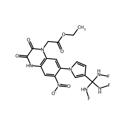 CCOC(=O)Cn1c(=O)c(=O)[nH]c2cc([N+](=O)[O-])c(-n3ccc(C(NF)(NF)NF)c3)cc21